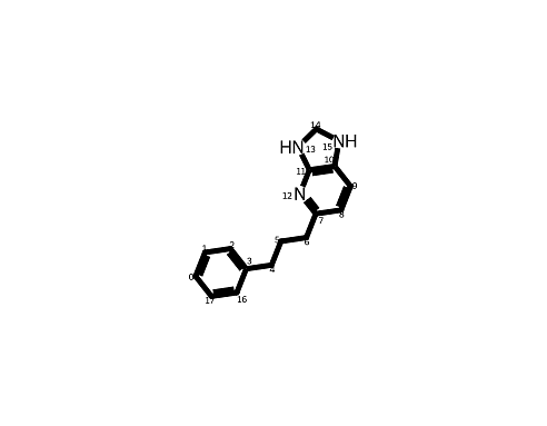 c1ccc(CCCc2ccc3c(n2)NCN3)cc1